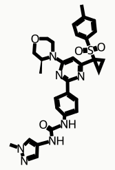 Cc1ccc(S(=O)(=O)C2(c3cc(N4CCOC[C@@H]4C)nc(-c4ccc(NC(=O)Nc5cnn(C)c5)cc4)n3)CC2)cc1